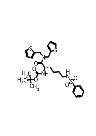 CC(C)(C)OC(=O)N[C@@H](CCCCNS(=O)(=O)c1ccccc1)C(=O)N(Cc1cccs1)Cc1cccs1